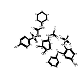 CC(=O)c1ccc(S(=O)(=O)NC(=O)NC2CCCCC2)cc1.CCC(=O)Nc1ccc(Cl)c(Cl)c1.CS(=O)(=O)Nc1ccc([N+](=O)[O-])cc1Oc1ccccc1